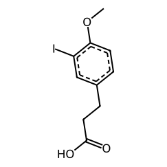 COc1ccc(CCC(=O)O)cc1I